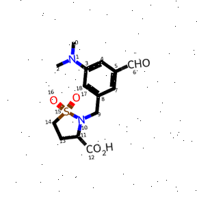 CN(C)c1cc(C=O)cc(CN2C(C(=O)O)CCS2(=O)=O)c1